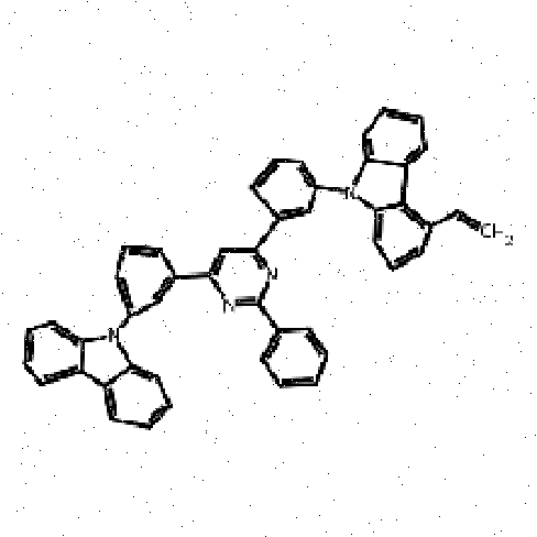 C=Cc1cccc2c1c1ccccc1n2-c1cccc(-c2cc(-c3cccc(-n4c5ccccc5c5ccccc54)c3)nc(-c3ccccc3)n2)c1